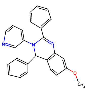 COc1ccc2c(c1)N=C(c1ccccc1)N(c1cccnc1)C2c1ccccc1